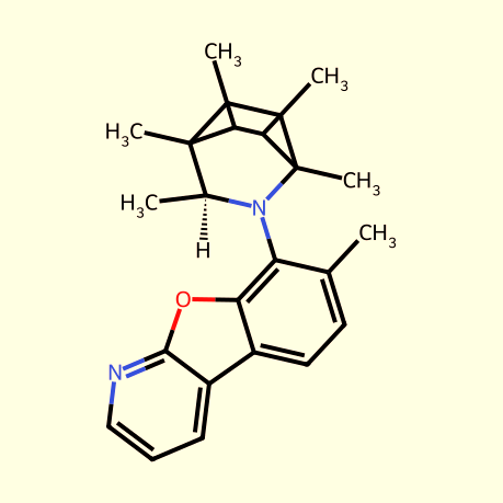 Cc1ccc2c(oc3ncccc32)c1N1[C@@H](C)C2(C)CCC1(C)C(C)C2C